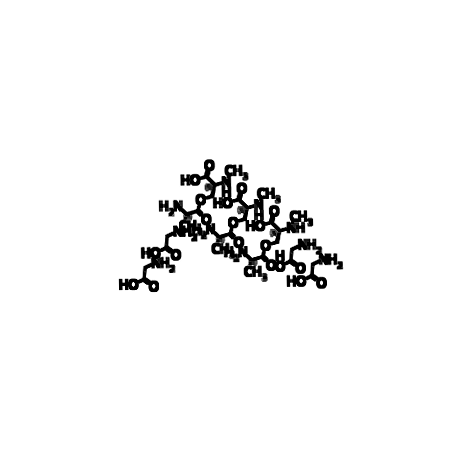 CN[C@@H](COC(=O)[C@H](C)N)C(=O)O.CN[C@@H](COC(=O)[C@H](C)N)C(=O)O.CN[C@@H](COC(=O)[C@H](C)N)C(=O)O.NCC(=O)O.NCC(=O)O.NCC(=O)O.NCC(=O)O